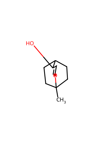 CC12CCC(CC1)C(O)C=CO2